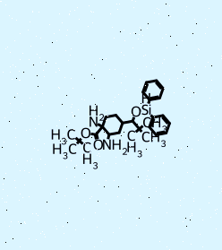 CC(C)(C)OC(=O)C1(N)CCC(C(O[SiH](c2ccccc2)c2ccccc2)C(C)(C)C)CC1N